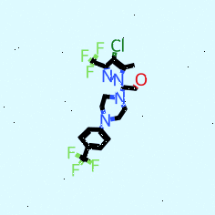 Cc1c(Cl)c(C(F)(F)F)nn1C(C=O)N1CCN(c2ccc(C(F)(F)F)cc2)CC1